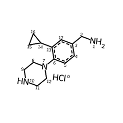 Cl.NCc1ccc(N2CCNCC2)c(C2CC2)c1